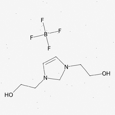 F[B-](F)(F)F.OCCN1C=CN(CCO)C1